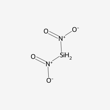 O=[N+]([O-])[SiH2][N+](=O)[O-]